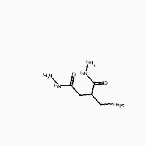 CCCCCCCCC(CC(=O)NN)C(=O)NN